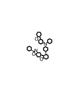 c1ccc(-c2nc3cc4c(cc3o2)oc2cccc(-c3ccc(N(c5ccccc5)c5ccc6oc7ccccc7c6c5)cc3)c24)cc1